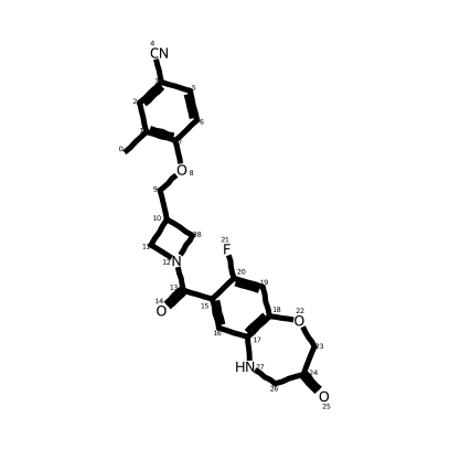 Cc1cc(C#N)ccc1OCC1CN(C(=O)c2cc3c(cc2F)OCC(=O)CN3)C1